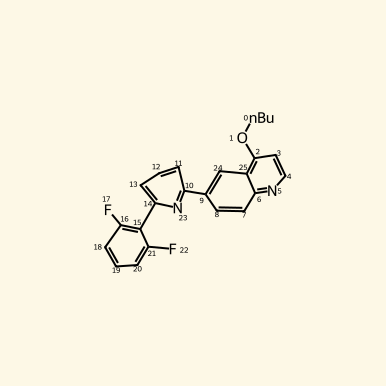 CCCCOc1ccnc2ccc(-c3cccc(-c4c(F)cccc4F)n3)cc12